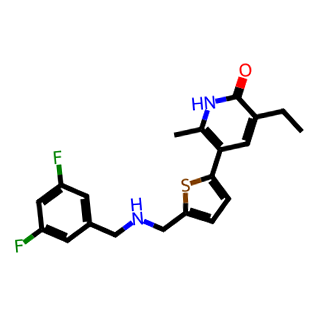 CCc1cc(-c2ccc(CNCc3cc(F)cc(F)c3)s2)c(C)[nH]c1=O